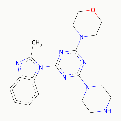 Cc1nc2ccccc2n1-c1nc(N2CCNCC2)nc(N2CCOCC2)n1